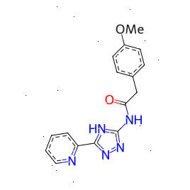 COc1ccc(CC(=O)Nc2nnc(-c3ccccn3)[nH]2)cc1